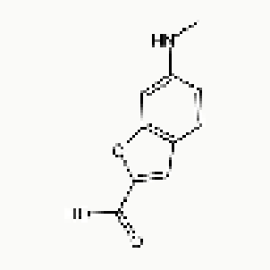 CNc1ccc2cc(C(=O)O)oc2c1